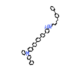 C1=CC(C2=CCC(c3ccc(-c4ccc(N/C=C/C=C\CCc5ccc(-c6ccccc6)cc5)cc4)cc3)C=C2)CC=C1c1ccc(N(c2ccccc2)c2ccc(-c3ccccc3)cc2)cc1